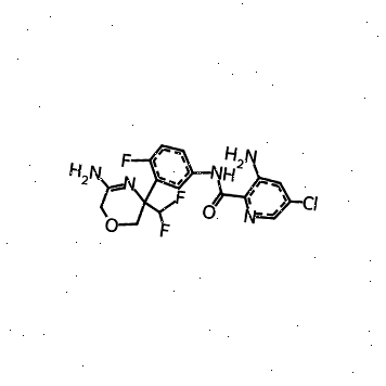 NC1=NC(c2cc(NC(=O)c3ncc(Cl)cc3N)ccc2F)(C(F)F)COC1